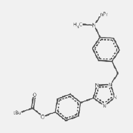 CCCN(C)c1ccc(Cn2nnc(-c3ccc(OC(=O)C(C)(C)C)cc3)n2)cc1